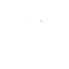 CSOC(=O)C(=O)c1cc2cc(Cl)ccc2s1